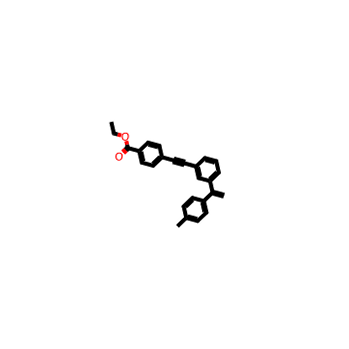 C=C(c1ccc(C)cc1)c1cccc(C#Cc2ccc(C(=O)OCC)cc2)c1